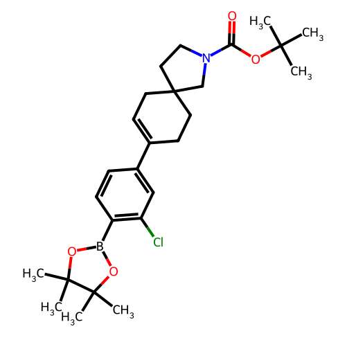 CC(C)(C)OC(=O)N1CCC2(CC=C(c3ccc(B4OC(C)(C)C(C)(C)O4)c(Cl)c3)CC2)C1